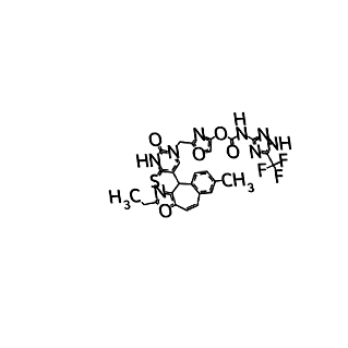 CCc1nc2c(o1)C=Cc1cc(C)ccc1C2c1cn(Cc2nc(OC(=O)Nc3n[nH]c(C(F)(F)F)n3)co2)c(=O)[nH]c1=S